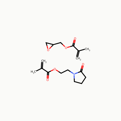 C=C(C)C(=O)OCC1CO1.C=C(C)C(=O)OCCN1CCCC1=O